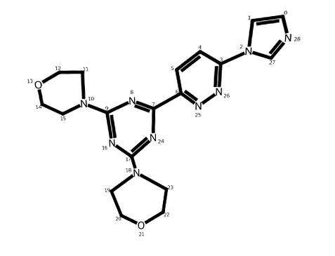 c1cn(-c2ccc(-c3nc(N4CCOCC4)nc(N4CCOCC4)n3)nn2)cn1